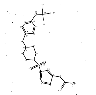 O=C(O)Cc1cccc(S(=O)(=O)N2CCN(Cc3ccc(OC(F)(F)F)cc3)CC2)c1